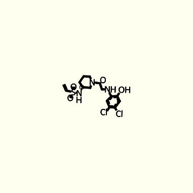 C=CS(=O)(=O)N[C@H]1CCCN(C(=O)CNc2cc(Cl)c(Cl)cc2O)C1